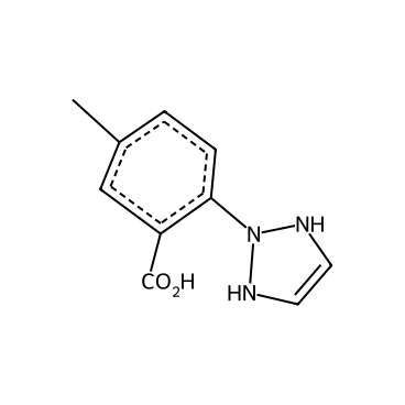 Cc1ccc(N2NC=CN2)c(C(=O)O)c1